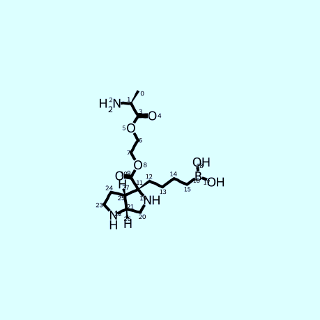 C[C@H](N)C(=O)OCCOC(=O)[C@]1(CCCCB(O)O)NC[C@@H]2NCC[C@@H]21